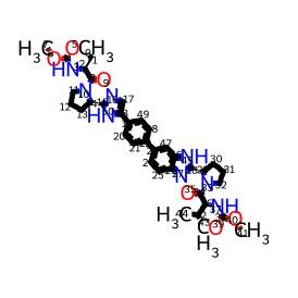 CC[C@H](NC(=O)OC)C(=O)N1CCC[C@H]1c1ncc(-c2ccc(-c3ccc4nc([C@@H]5CCCN5C(=O)[C@@H](NC(=O)OC)C(C)C)[nH]c4c3)cc2)[nH]1